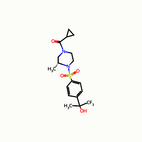 C[C@@H]1CN(C(=O)C2CC2)CCN1S(=O)(=O)c1ccc(C(C)(O)C(F)(F)F)cc1